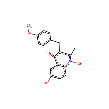 Cc1c(Cc2ccc(OC(F)(F)F)cc2)c(=O)c2cc(O)ccc2n1O